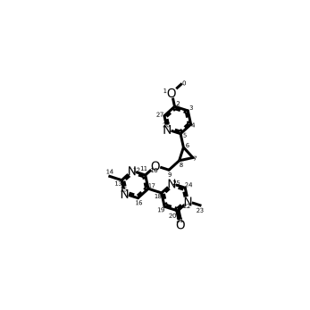 COc1ccc(C2CC2COc2nc(C)ncc2-c2cc(=O)n(C)cn2)nc1